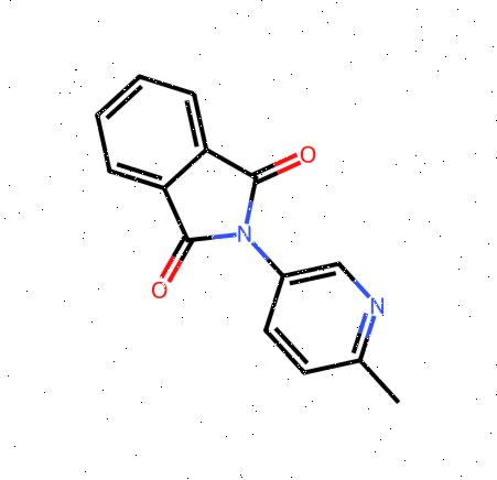 Cc1ccc(N2C(=O)c3ccccc3C2=O)cn1